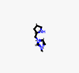 C[n+]1ccn(CC2C[CH]CN2)c1